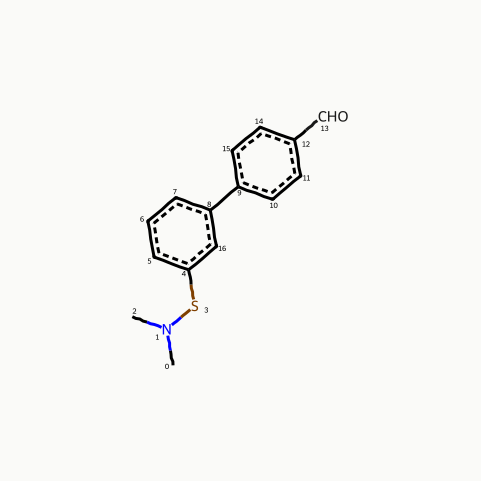 CN(C)Sc1cccc(-c2ccc(C=O)cc2)c1